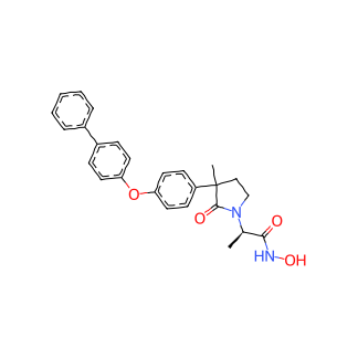 C[C@H](C(=O)NO)N1CCC(C)(c2ccc(Oc3ccc(-c4ccccc4)cc3)cc2)C1=O